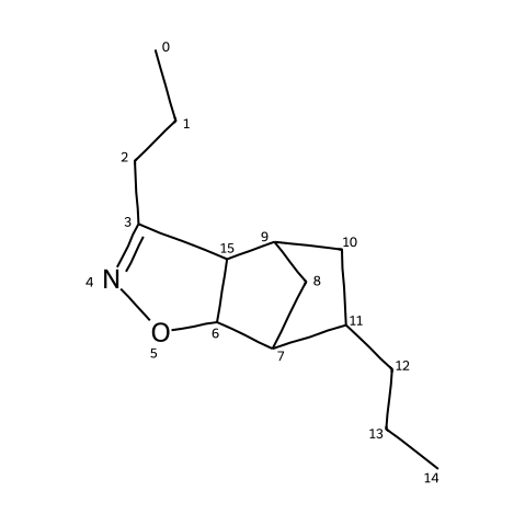 CCCC1=NOC2C3CC(CC3CCC)C12